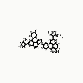 CN1CCN(c2cc(-c3c[nH]nc3C(F)(F)F)nc3ccc4c(cnn4C4CCCN(c5cc(-c6c[nH]nc6C(F)(F)F)nc6ccc7[nH]ncc7c56)C4)c23)CC1